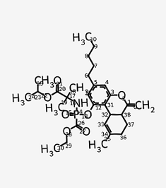 C=C1Oc2cc(CCCCC)cc(OP(=O)(NC(C)(C)C(=O)OC(C)C)C(=O)OCC)c2C2C=C(C)CCC12